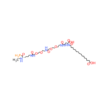 CCN[C@@H](CCCCNC(=O)COCCOCCNC(=O)COCCOCCNC(=O)CC[C@H](NC(=O)CCCCCCCCCCCCCCC(=O)O)C(=O)O)C(=O)P